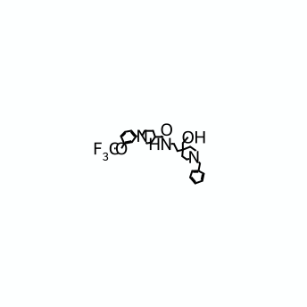 O=C(NCCC1(CO)CCN(Cc2ccccc2)CC1)C1CCN(c2cccc(OC(F)(F)F)c2)CC1